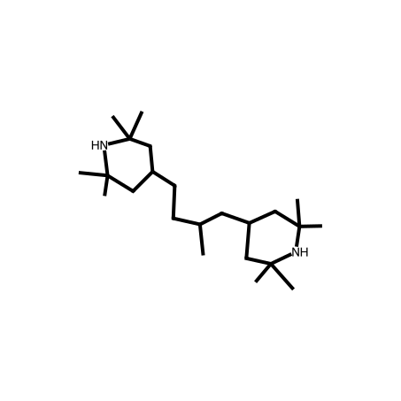 CC(CCC1CC(C)(C)NC(C)(C)C1)CC1CC(C)(C)NC(C)(C)C1